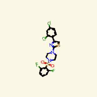 O=S(=O)(c1c(F)cccc1F)N1CCN(c2nc(-c3ccc(Cl)cc3Cl)cs2)CC1